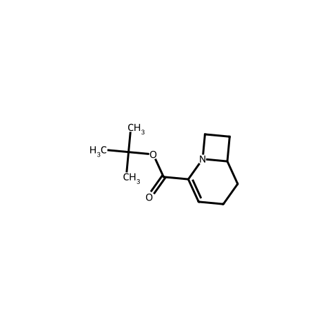 CC(C)(C)OC(=O)C1=CCCC2CCN12